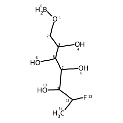 BOCC(O)C(O)C(O)C(O)C(C)F